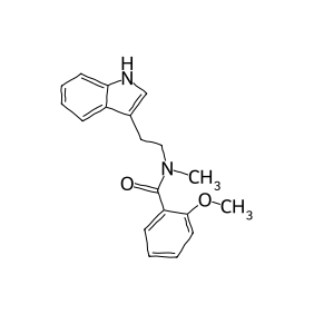 COc1ccccc1C(=O)N(C)CCc1c[nH]c2ccccc12